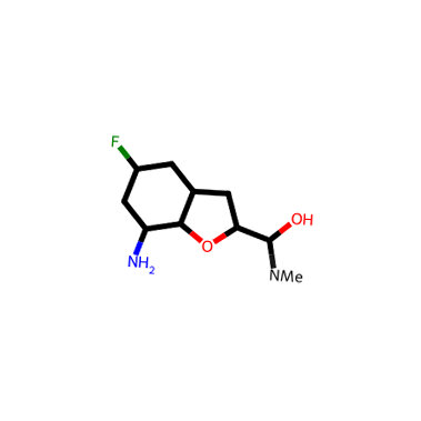 CNC(O)C1CC2CC(F)CC(N)C2O1